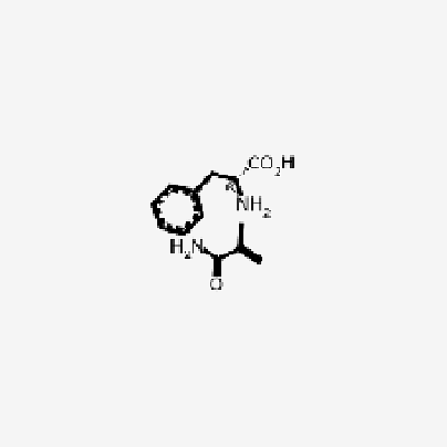 C=C(C)C(N)=O.N[C@H](Cc1ccccc1)C(=O)O